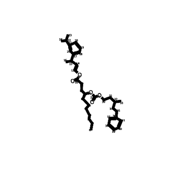 CCCCCCCC(CCC(=O)OC=CC(C)c1cccc(C(C)C)c1)OC(=O)OCCC(C)CCc1ccccc1